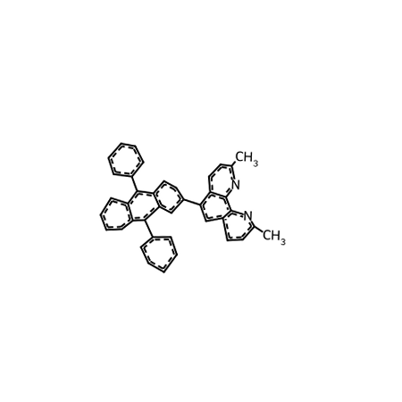 Cc1ccc2cc(-c3ccc4c(-c5ccccc5)c5ccccc5c(-c5ccccc5)c4c3)c3ccc(C)nc3c2n1